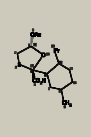 CC(=O)O[C@H]1CS[C@@](C(=O)O)(C2CC(C)CCC2C(C)C)O1